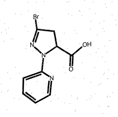 O=C(O)C1CC(Br)=NN1c1ccccn1